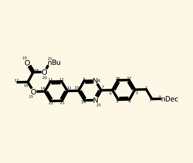 CCCCCCCCCCCCc1ccc(-c2ncc(-c3ccc(OC(C)C(=O)OCCCC)cc3)cn2)cc1